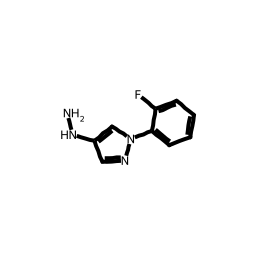 NNc1cnn(-c2ccccc2F)c1